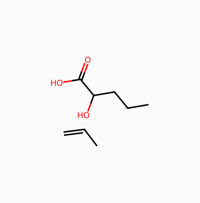 C=CC.C[CH]CC(O)C(=O)O